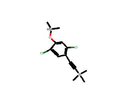 C[SiH](C)Oc1cc(Cl)c(C#C[Si](C)(C)C)cc1Cl